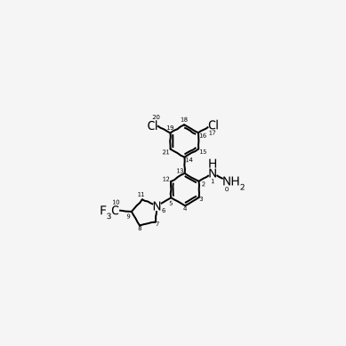 NNc1ccc(N2CCC(C(F)(F)F)C2)cc1-c1cc(Cl)cc(Cl)c1